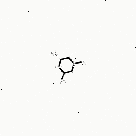 C[C@@H]1CN(C)C[C@@H](C)N1